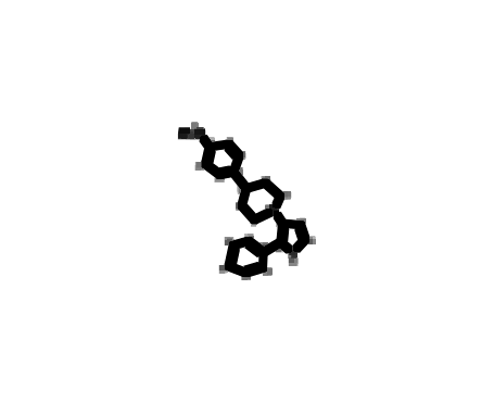 COc1ccc(C2CCN(c3ccsc3-c3ccccc3)CC2)cc1